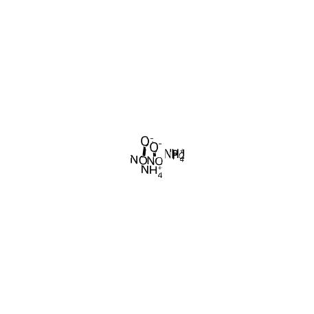 O=N[O-].O=N[O-].[NH4+].[NH4+].[Pd]